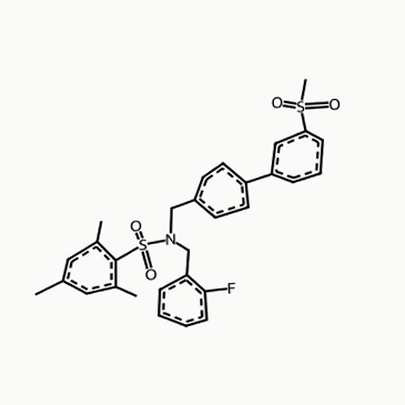 Cc1cc(C)c(S(=O)(=O)N(Cc2ccc(-c3cccc(S(C)(=O)=O)c3)cc2)Cc2ccccc2F)c(C)c1